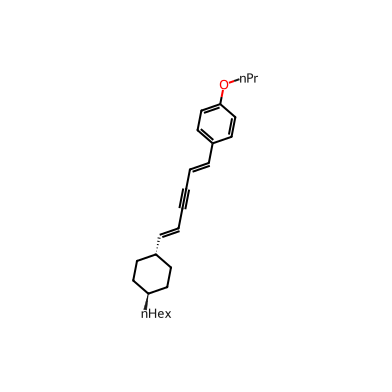 CCCCCC[C@H]1CC[C@H](C=CC#CC=Cc2ccc(OCCC)cc2)CC1